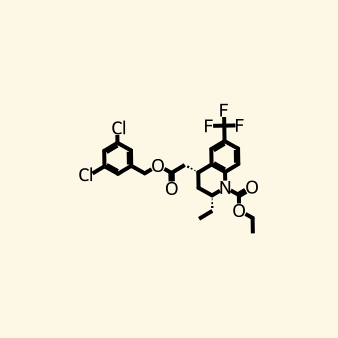 CCOC(=O)N1c2ccc(C(F)(F)F)cc2[C@@H](CC(=O)OCc2cc(Cl)cc(Cl)c2)C[C@H]1CC